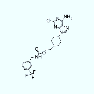 Nc1nc(Cl)nc2c1ncn2C1CCC(CCOC(=O)NCc2cccc(C(F)(F)F)c2)CC1